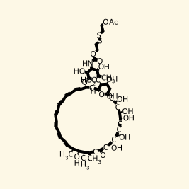 CC(=O)OCCSSCCOC(=O)NC1C(O)C(C)OC(O[C@H]2/C=C/C=C/C=C/C=C/C=C/C=C/C=C/[C@H](C)[C@@H](O)[C@@H](C)C(C)CC(=O)C[C@H](O)C[C@H](O)CC[C@@H](O)[C@H](O)C[C@H](O)C[C@]3(O)C[C@H](O)[C@@H](C(=O)O)[C@H](C2)O3)C1O